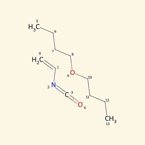 C=CN=C=O.CCCCOCCCC